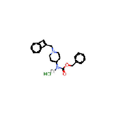 CCN(C(=O)OCc1ccccc1)C1CCN(CC2=Cc3ccccc32)CC1.Cl